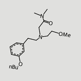 CCCCOc1cccc(CCN(CCOC)CC(=O)N(C)C)c1